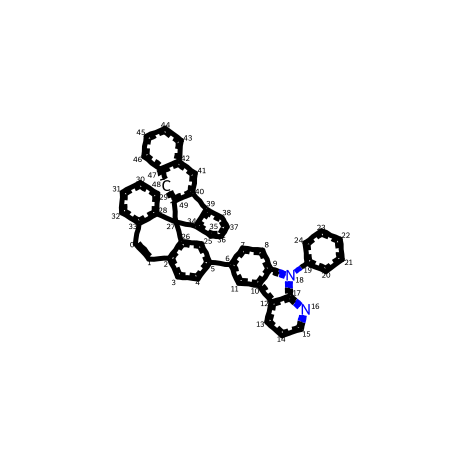 C1=Cc2ccc(-c3ccc4c(c3)c3cccnc3n4-c3ccccc3)cc2C2(c3ccccc31)c1ccccc1-c1cc3ccccc3cc12